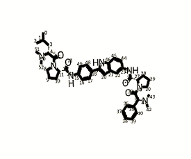 CC(C)C[C@H](C(=O)N1CCC[C@H]1C(=O)Nc1ccc(-c2cc3cc(NC(=O)[C@@H]4CCCN4C(=O)[C@@H](c4ccccc4)N(C)C)ccc3[nH]2)cc1)N(C)C